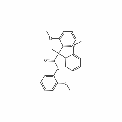 COc1ccccc1OC(=O)C(C)(c1ccccc1OC)c1ccccc1OC